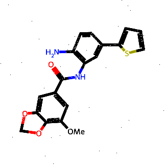 COc1cc(C(=O)Nc2cc(-c3cccs3)ccc2N)cc2c1OCO2